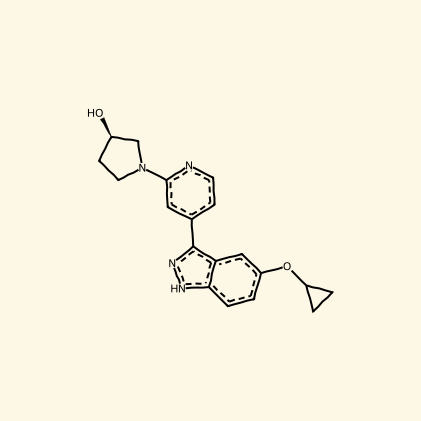 O[C@@H]1CCN(c2cc(-c3n[nH]c4ccc(OC5CC5)cc34)ccn2)C1